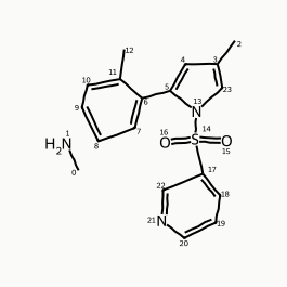 CN.Cc1cc(-c2ccccc2C)n(S(=O)(=O)c2cccnc2)c1